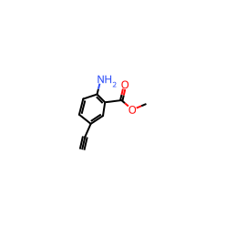 C#Cc1ccc(N)c(C(=O)OC)c1